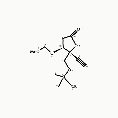 C#C[C@]1(CO[Si](C)(C)C(C)(C)C)OC(=O)C[C@@H]1OCOC